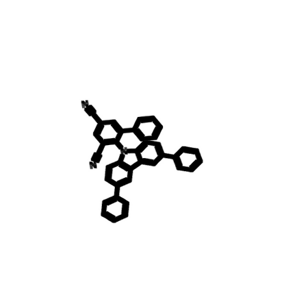 N#Cc1cc(C#N)c(-n2c3ccc(-c4ccccc4)cc3c3cc(-c4ccccc4)ccc32)c(-c2ccccc2)c1